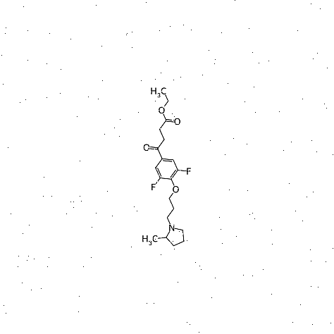 CCOC(=O)CCC(=O)c1cc(F)c(OCCCN2CCCC2C)c(F)c1